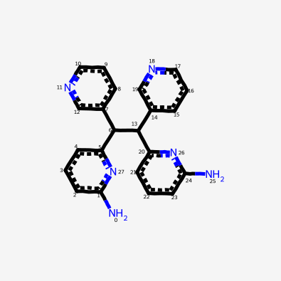 Nc1cccc(C(c2cccnc2)C(c2cccnc2)c2cccc(N)n2)n1